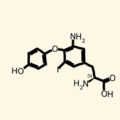 Nc1cc(C[C@H](N)C(=O)O)cc(I)c1Oc1ccc(O)cc1